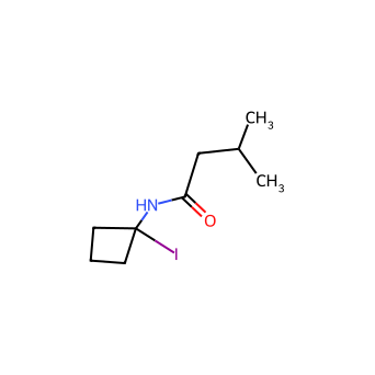 CC(C)CC(=O)NC1(I)CCC1